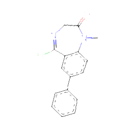 CN1C(=O)CN=C(Cl)c2cc(-c3ccccc3)ccc21